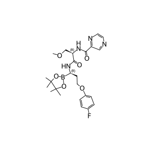 COC[C@@H](NC(=O)c1cnccn1)C(=O)N[C@@H](CCOc1ccc(F)cc1)B1OC(C)(C)C(C)(C)O1